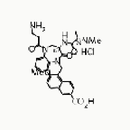 CN[C@@H](C)C(=O)N[C@H]1CN(C(=O)CCN)c2ccccc2N(Cc2c(OC)ccc3cc(C(=O)O)ccc23)C1=O.Cl